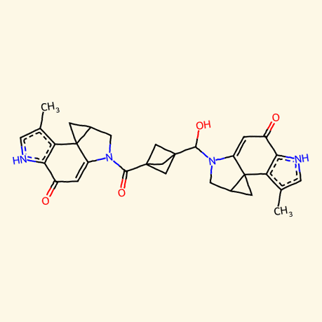 Cc1c[nH]c2c1C13CC1CN(C(=O)C14CC(C(O)N5CC6CC67C5=CC(=O)c5[nH]cc(C)c57)(C1)C4)C3=CC2=O